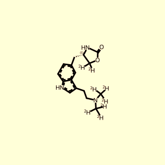 [2H]C1([2H])OC(=O)N[C@H]1Cc1ccc2[nH]cc(CCN(C([2H])([2H])[2H])C([2H])([2H])[2H])c2c1